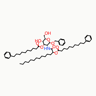 CCCCCCCCCCCCC(OC(=O)CCCCCCCCCc1ccccc1)C(=O)N[C@H]1[C@H](OCc2ccccc2)O[C@H](CO)[C@@H](O)[C@@H]1OC(=O)CCCCCCCCCc1ccccc1